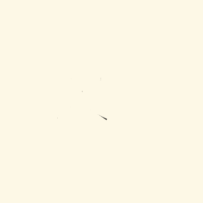 O=C(c1ccccc1)[C@H]1[C@H](c2cccc(Cl)c2)C12C(=O)c1ccccc1C2=O